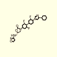 O=C1O[C@@H](CNc2ccon2)CN1c1cc(F)c(-c2ccc(-n3cnc(-c4ccccc4)c3)c(F)c2)c(F)c1